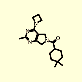 Cc1nc2c(c(N3CCC3)n1)CN(C(=O)C1CCC(C)(C)CC1)C2